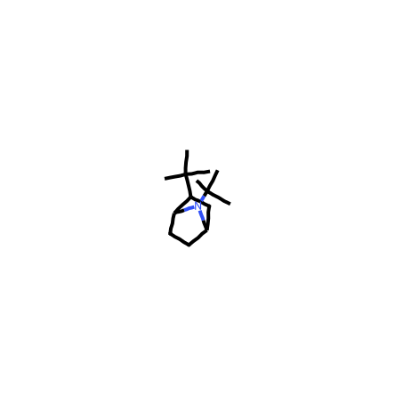 CC(C)(C)C1CC2CCC1N2C(C)(C)C